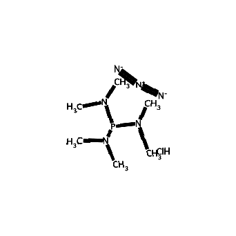 CN(C)P(N(C)C)N(C)C.Cl.[N-]=[N+]=[N-]